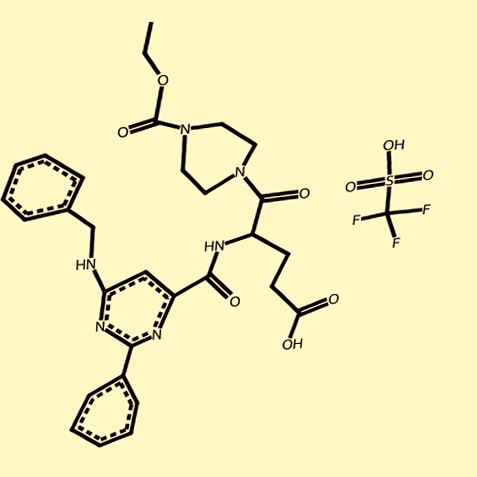 CCOC(=O)N1CCN(C(=O)C(CCC(=O)O)NC(=O)c2cc(NCc3ccccc3)nc(-c3ccccc3)n2)CC1.O=S(=O)(O)C(F)(F)F